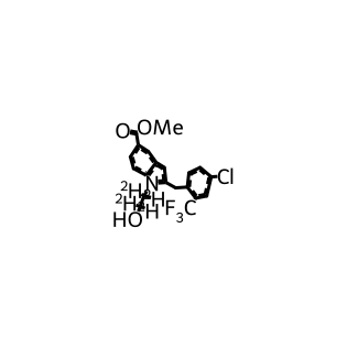 [2H]C([2H])(O)C([2H])([2H])n1c(Cc2ccc(Cl)cc2C(F)(F)F)cc2cc(C(=O)OC)ccc21